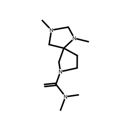 C=C(N(C)C)N1CCC2(CN(C)CN2C)C1